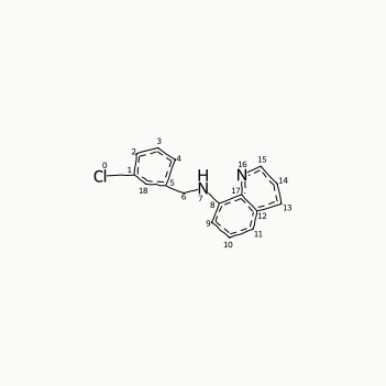 Clc1cccc(CNc2cccc3cccnc23)c1